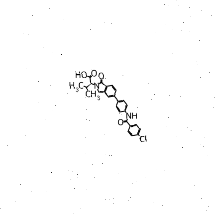 CC(C)[C@@H](C(=O)O)N1Cc2cc(-c3ccc(NC(=O)c4ccc(Cl)cc4)cc3)ccc2C1=O